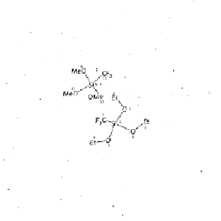 CCO[Si](OCC)(OCC)C(F)(F)F.CO[Si](OC)(OC)C(F)(F)F